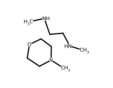 CN1CCOCC1.CNCCNC